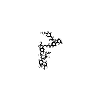 COc1cc2c(cc1CNC[C@@H](O[Si](C)(C)C(C)(C)C)c1ccc(O)c3[nH]c(=O)ccc13)oc(=O)n2CCCCc1ccc(-c2ccccc2)c(NC(=O)OC2CCC(N)CC2)c1